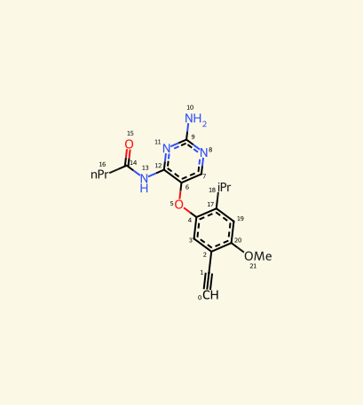 C#Cc1cc(Oc2cnc(N)nc2NC(=O)CCC)c(C(C)C)cc1OC